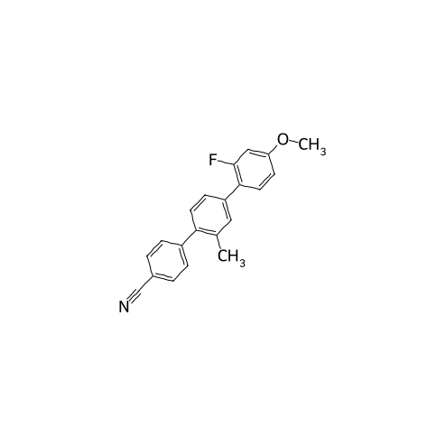 COc1ccc(-c2ccc(-c3ccc(C#N)cc3)c(C)c2)c(F)c1